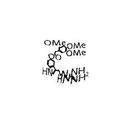 COc1cc(CC(=O)Oc2ccc3[nH]cc(CC=NNC(=N)N)c3c2)cc(OC)c1OC